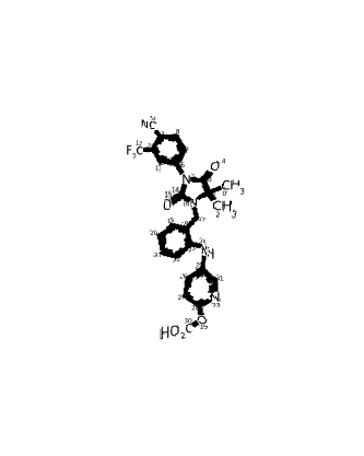 CC1(C)C(=O)N(c2ccc(C#N)c(C(F)(F)F)c2)C(=O)N1Cc1ccccc1Nc1ccc(OC(=O)O)nc1